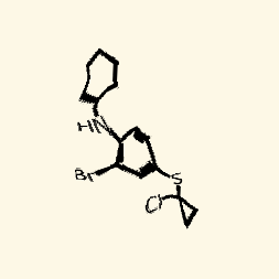 ClC1(Sc2ccc(NC3CCCCC3)c(Br)c2)CC1